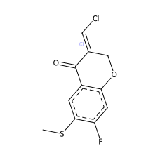 CSc1cc2c(cc1F)OC/C(=C\Cl)C2=O